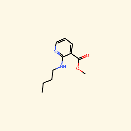 CCCCNc1ncccc1C(=O)OC